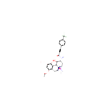 CC(=O)Oc1cc(O)c2c3c1C[C@@H]1[C@@H]4CC[C@@H](N(C)C(=O)C#Cc5ccc(C(F)(F)F)cc5)[C@H](O2)[C@]34CCN1C